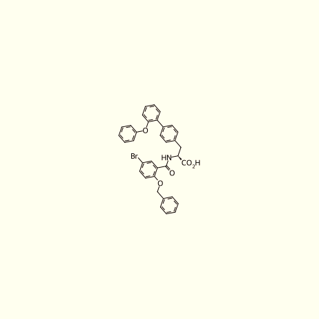 O=C(N[C@@H](Cc1ccc(-c2ccccc2Oc2ccccc2)cc1)C(=O)O)c1cc(Br)ccc1OCc1ccccc1